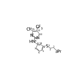 CC(C)CCSc1cccc(Nc2ncc(C(F)(F)F)c(Cl)n2)c1